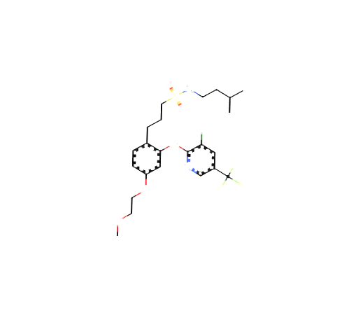 COCCOc1ccc(CCCS(=O)(=O)NCCC(C)C)c(Oc2ncc(C(F)(F)F)cc2Cl)c1